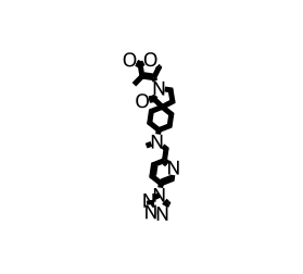 CC1=C(N2CCC3(CCC(N(C)Cc4ccc(-n5cnnn5)cn4)CC3)C2=O)COC1=O